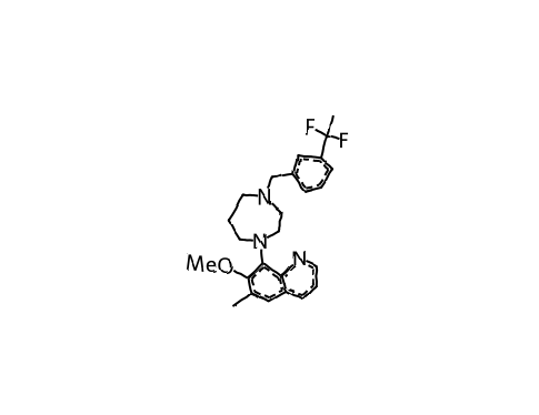 COc1c(C)cc2cccnc2c1N1CCCN(Cc2cccc(C(C)(F)F)c2)CC1